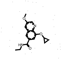 CCNC(=O)c1cc(OC2CC2)c2ncc(OC)cc2c1